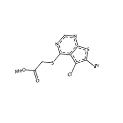 COC(=O)CSc1ncnc2sc(C(C)C)c(Cl)c12